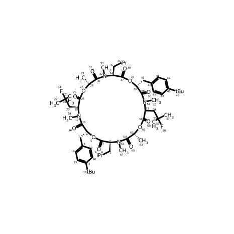 CC(C)C[C@H]1C(=O)O[C@H](Cc2ccc(C(C)(C)C)cc2)C(=O)N(C)[C@@H](CC(C)(C)F)C(=O)O[C@H](C)C(=O)N(C)[C@@H](CC(C)C)C(=O)O[C@H](Cc2ccc(C(C)(C)C)cc2)C(=O)N(C)C(CC(C)(C)F)C(=O)O[C@H](C)C(=O)N1C